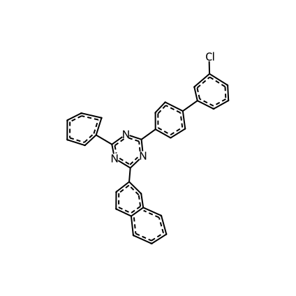 Clc1cccc(-c2ccc(-c3nc(-c4ccccc4)nc(-c4ccc5ccccc5c4)n3)cc2)c1